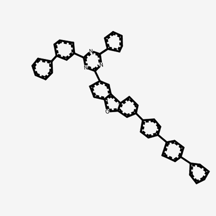 c1ccc(-c2ccc(-c3ccc(-c4ccc5c(c4)oc4ccc(-c6nc(-c7ccccc7)nc(-c7cccc(-c8ccccc8)c7)n6)cc45)cc3)cc2)cc1